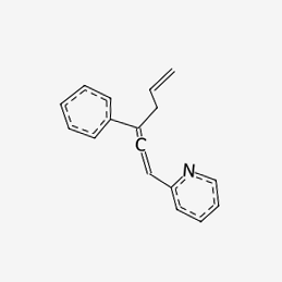 C=CCC(=C=Cc1ccccn1)c1ccccc1